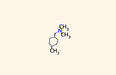 [CH2][C@H]1CC[C@@H](CN(C)C)CC1